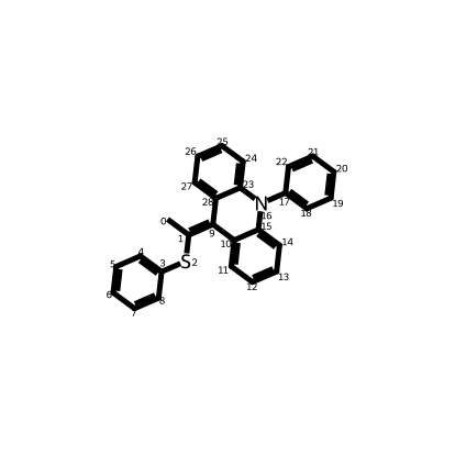 CC(Sc1ccccc1)=C1c2ccccc2N(c2ccccc2)c2ccccc21